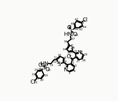 O=C(c1cccnc1-c1ccc(CCNS(=O)(=O)c2ccc(Cl)cc2)s1)c1cccnc1-c1ccc(CCNS(=O)(=O)c2ccc(Cl)cc2)s1